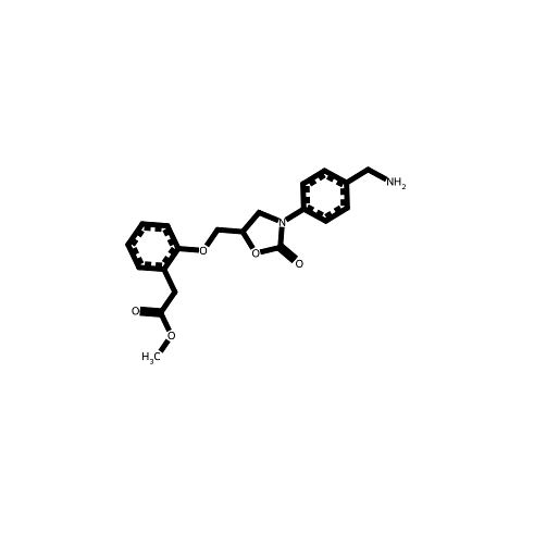 COC(=O)Cc1ccccc1OCC1CN(c2ccc(CN)cc2)C(=O)O1